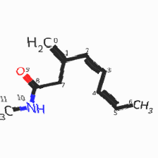 C=C(/C=C\C=C/C)CC(=O)NC